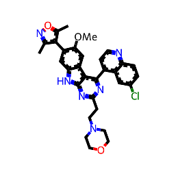 COc1cc2c(cc1-c1c(C)noc1C)[nH]c1nc(CCN3CCOCC3)nc(-c3ccnc4ccc(Cl)cc34)c12